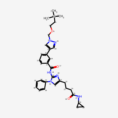 C[Si](C)(C)CCOCn1cc(-c2cccc(C(=O)Nc3nc(CCCC(=O)NC4CC4)cn3-c3ccccc3)c2)cn1